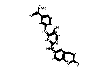 CNC(=O)c1cccc(Oc2nc(Nc3ccc4c(c3)CCC(=O)N4)ncc2C)c1